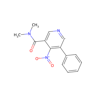 CN(C)C(=O)c1cn[c]c(-c2ccccc2)c1[N+](=O)[O-]